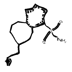 C=CCC1CCc2cccc(S(N)(=O)=O)c2C1